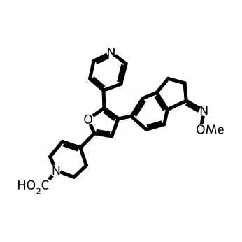 CO/N=C1/CCc2cc(-c3cc(C4=CCN(C(=O)O)CC4)oc3-c3ccncc3)ccc21